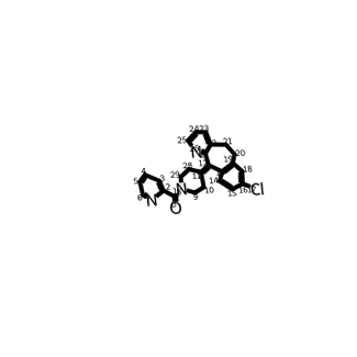 O=C(c1ccccn1)N1CCC(=C2c3ccc(Cl)cc3CCc3cccnc32)CC1